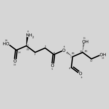 N[C@@H](CCC(=O)O[C@@H](C=O)[C@H](O)CO)C(=O)O